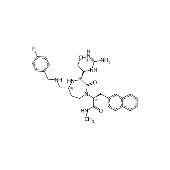 CCC(NC(=N)N)[C@@H]1N[C@@H](CNCc2ccc(F)cc2)CCN([C@@H](Cc2ccc3ccccc3c2)C(=O)NC)C1=O